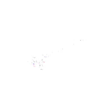 CCCCCCCCCCCCCCCCNC(=O)c1cc(Oc2ccccc2[N+](=O)[O-])c2ccccc2c1O